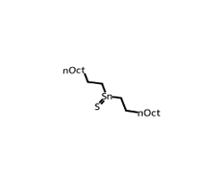 CCCCCCCCC[CH2][Sn](=[S])[CH2]CCCCCCCCC